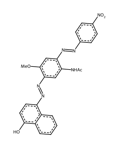 COc1cc(N=Nc2ccc([N+](=O)[O-])cc2)c(NC(C)=O)cc1N=Nc1ccc(O)c2ccccc12